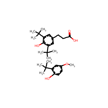 CC(C)(C)c1cc(CCC(=O)O)cc(C(C)(C)C)c1O.COc1ccc(O)c(C(C)(C)C)c1